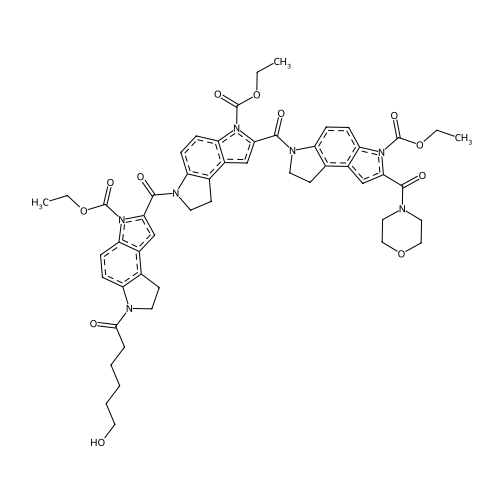 CCOC(=O)n1c(C(=O)N2CCc3c2ccc2c3cc(C(=O)N3CCc4c3ccc3c4cc(C(=O)N4CCOCC4)n3C(=O)OCC)n2C(=O)OCC)cc2c3c(ccc21)N(C(=O)CCCCCO)CC3